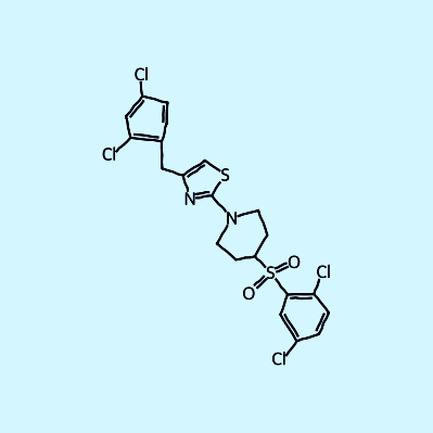 O=S(=O)(c1cc(Cl)ccc1Cl)C1CCN(c2nc(Cc3ccc(Cl)cc3Cl)cs2)CC1